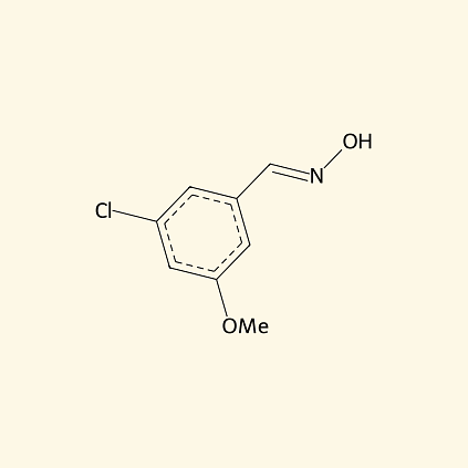 COc1cc(Cl)cc(C=NO)c1